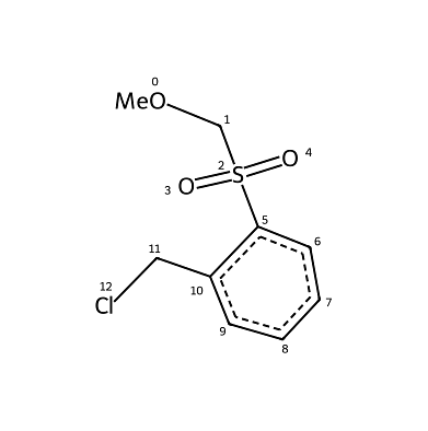 COCS(=O)(=O)c1ccccc1CCl